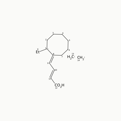 CC[C]1CCCCCCC1=CC=CC(=O)O.[CH2].[CH2]